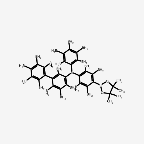 Bc1c(B)c(B)c(-c2c(B)c(B)c(B)c(N(c3c(B)c(B)c(B)c(B)c3B)c3c(B)c(B)c(B4OC(C)(C)C(C)(C)O4)c(B)c3B)c2B)c(B)c1B